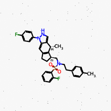 Cc1ccc(CCN(C[C@H]2CCC3=C2[C@@H](C)C2=CNN(c4ccc(F)cc4)C2=C3)S(=O)(=O)c2ccccc2F)cc1